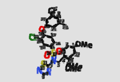 COc1ccc(CN(c2ncns2)S(=O)(=O)c2ccc(Oc3cc(C)cc(C(F)(F)F)c3)c(Cl)c2)c(OC)c1